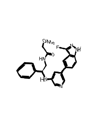 COCC(=O)NC[C@@H](Nc1cncc(-c2ccc3[nH]nc(F)c3c2)c1)c1ccccc1